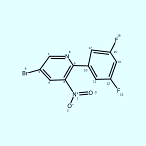 O=[N+]([O-])c1cc(Br)cnc1-c1cc(F)cc(F)c1